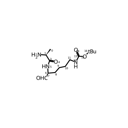 C[C@H](N)C(=O)N[C@H](C=O)CCCCNC(=O)OC(C)(C)C